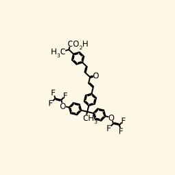 CC(C(=O)O)c1ccc(C=CC(=O)C=Cc2ccc(C(C)(c3ccc(OC(F)=C(F)F)cc3)c3ccc(OC(F)=C(F)F)cc3)cc2)cc1